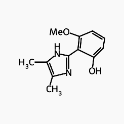 COc1cccc(O)c1-c1nc(C)c(C)[nH]1